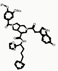 COc1cc(C(=O)N2CC3CN(C(=O)Cc4c[nH]c5cc(Cl)ccc45)CC(C(=O)NC(CCCc4ccccc4)c4ncco4)C3C2)ccc1OC(C)C